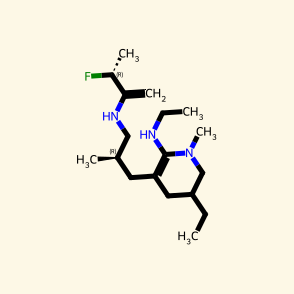 C=C(NC[C@H](C)CC1=C(NCC)N(C)CC(CC)C1)[C@@H](C)F